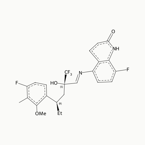 CC[C@H](C[C@](O)(C=Nc1ccc(F)c2[nH]c(=O)ccc12)C(F)(F)F)c1ccc(F)c(C)c1OC